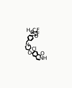 CC(F)(F)S(=O)(=O)c1ccc(CN2CCC(Oc3cc4cc[nH]c(=O)c4cc3Cl)CC2)cc1